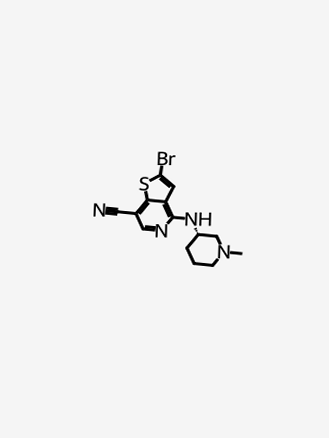 CN1CCC[C@H](Nc2ncc(C#N)c3sc(Br)cc23)C1